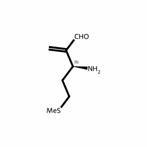 C=C(C=O)[C@@H](N)CCSC